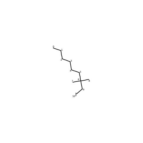 CCCCCCC(C)(C)CI